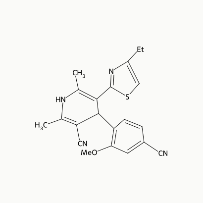 CCc1csc(C2=C(C)NC(C)=C(C#N)C2c2ccc(C#N)cc2OC)n1